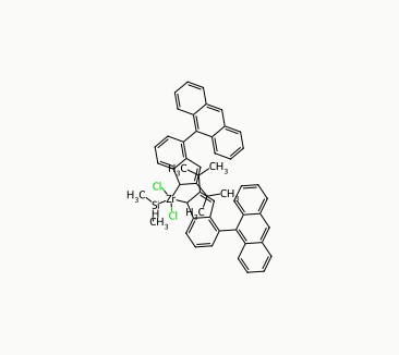 CC(C)C1=Cc2c(-c3c4ccccc4cc4ccccc34)cccc2[CH]1[Zr]([Cl])([Cl])([CH]1C(C(C)C)=Cc2c(-c3c4ccccc4cc4ccccc34)cccc21)[SiH](C)C